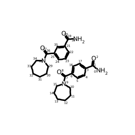 NC(=O)c1ccc(C(=O)N2CCCCCC2)cc1.NC(=O)c1cccc(C(=O)N2CCCCCC2)c1